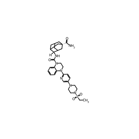 CCS(=O)(=O)N1CCN(c2ccc(N3CCN(C(=O)N[C@H]4C5CC6CC4C[C@@](C(N)=O)(C6)C5)c4ccccc43)nc2)CC1